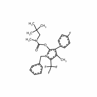 Cc1c(-c2ccc(F)cc2)c(OC(=O)N(C)CC(C)(C)C)n(Cc2ccccc2)c1C(F)(F)F